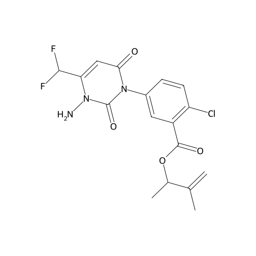 C=C(C)C(C)OC(=O)c1cc(-n2c(=O)cc(C(F)F)n(N)c2=O)ccc1Cl